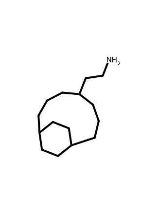 NCCC1CCCC2CCC(CCC1)CC2